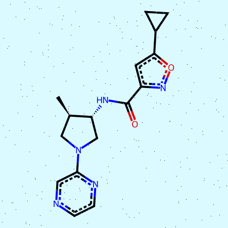 C[C@@H]1CN(c2cnccn2)C[C@H]1NC(=O)c1cc(C2CC2)on1